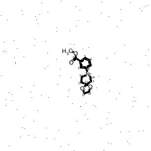 COC(=O)c1cccc(N2CCC3(CC2)OCCO3)c1